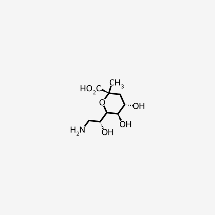 C[C@]1(C(=O)O)C[C@H](O)[C@@H](O)C([C@H](O)CN)O1